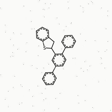 c1ccc(-c2ccc(-c3ccccc3)c(C3Cc4ccccc4S3)c2)cc1